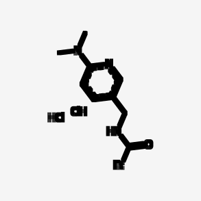 CCC(=O)NCc1ccc(N(C)C)nc1.Cl.Cl